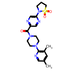 Cc1cnc(N2CCN(C(=O)c3cnc(N4CCCS4(=O)=O)cn3)CC2)c(C)c1